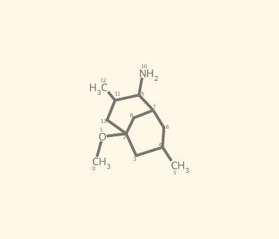 COC12CC(C)CC(C1)C(N)C(C)C2